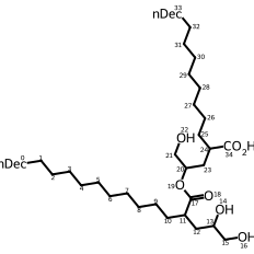 CCCCCCCCCCCCCCCCCCCCC(CC(O)CO)C(=O)OC(CO)CC(CCCCCCCCCCCCCCCCCC)C(=O)O